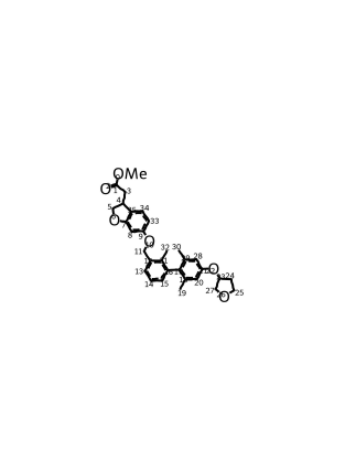 COC(=O)CC1COc2cc(OCc3cccc(-c4c(C)cc(OC5CCOC5)cc4C)c3C)ccc21